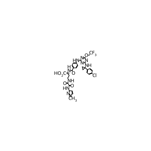 Cn1ccc(NC(=O)C(=O)NCC[C@H](NC(=O)c2ccc(Nc3nc(NC4(c5ccc(Cl)cc5)CC4)nc(OCC(F)(F)F)n3)cc2)C(=O)O)n1